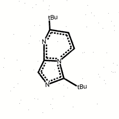 CC(C)(C)c1ccn2c(C(C)(C)C)ncc2n1